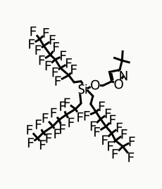 CC(C)(C)c1cc(CO[Si](CCC(F)(F)C(F)(F)C(F)(F)C(F)(F)C(F)(F)C(F)(F)F)(CCC(F)(F)C(F)(F)C(F)(F)C(F)(F)C(F)(F)C(F)(F)F)CCC(F)(F)C(F)(F)C(F)(F)C(F)(F)C(F)(F)C(F)(F)F)on1